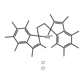 CC1=C(C)[C]2(CC[C]3([Hf+2]2)C(C)=C(C)c2c(C)c(C)c(C)c(C)c23)c2c(C)c(C)c(C)c(C)c21.[Cl-].[Cl-]